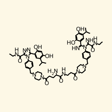 CCNC(=O)C(=N)N(C(=N)c1cc(C(C)C)c(O)cc1O)c1ccc(CN2CCN(C(=O)CCNC(=O)[C@H](N)CCC(=O)N3CCN(Cc4ccc(-n5c(C(=O)NCC)nnc5-c5cc(C(C)C)c(O)cc5O)cc4)CC3)CC2)cc1